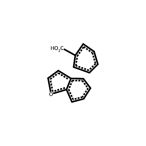 O=C(O)c1ccccc1.c1ccc2occc2c1